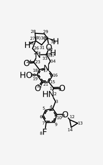 O=C(NCc1ccc(F)cc1OC1CC1)c1cn2c(c(O)c1=O)C(=O)N1C[C@@H]3CC[C@@H](C3)O[C@H]1C2